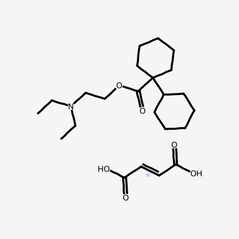 CCN(CC)CCOC(=O)C1(C2CCCCC2)CCCCC1.O=C(O)/C=C/C(=O)O